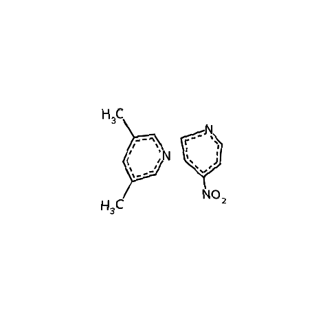 Cc1cncc(C)c1.O=[N+]([O-])c1ccncc1